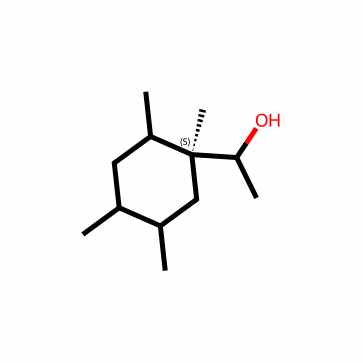 CC1CC(C)[C@@](C)(C(C)O)CC1C